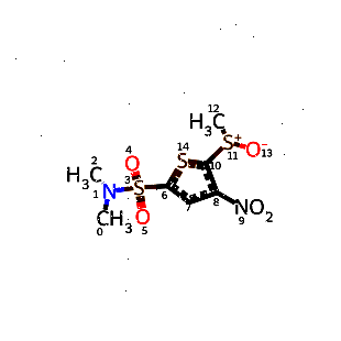 CN(C)S(=O)(=O)c1cc([N+](=O)[O-])c([S+](C)[O-])s1